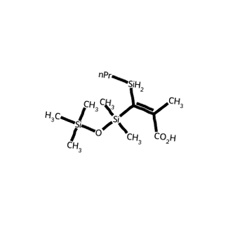 CCC[SiH2]C(=C(C)C(=O)O)[Si](C)(C)O[Si](C)(C)C